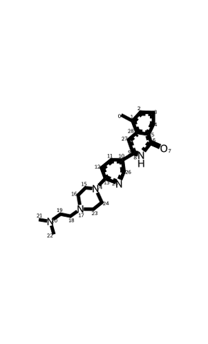 Cc1cccc2c(=O)[nH]c(-c3ccc(N4CCN(CCN(C)C)CC4)nc3)cc12